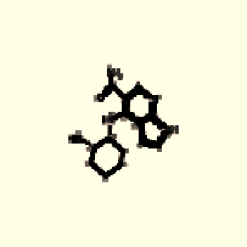 NC(=O)c1cnc2[nH]ccc2c1N[C@@H]1CCCC[C@@H]1O